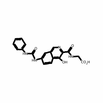 O=C(O)CNC(=O)c1ncc2cc(NC(=O)Nc3ccccc3)ccc2c1O